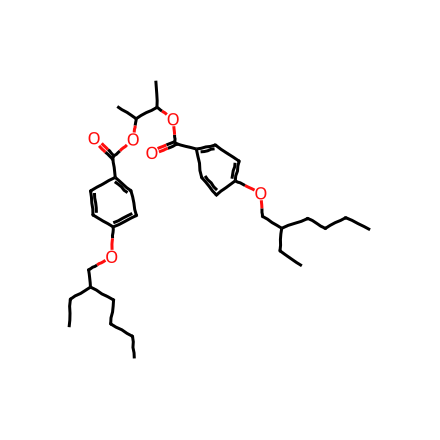 CCCCC(CC)COc1ccc(C(=O)OC(C)C(C)OC(=O)c2ccc(OCC(CC)CCCC)cc2)cc1